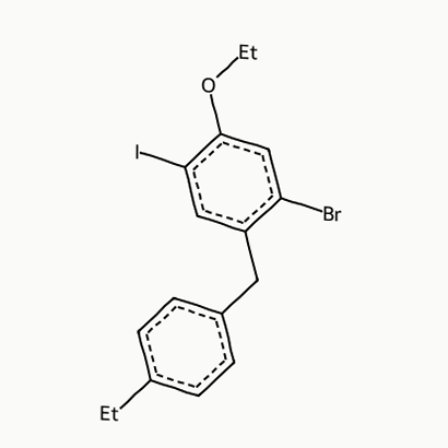 CCOc1cc(Br)c(Cc2ccc(CC)cc2)cc1I